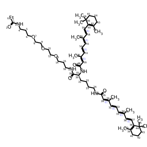 CCC(=O)NCCCOCCOCCOCCCNC(=O)[C@H](CCCCNC(=O)/C=C(C)/C=C/C=C(C)/C=C/C1=C(C)CCCC1(C)C)NC(=O)/C=C(C)/C=C/C=C(C)/C=C/C1=C(C)CCCC1(C)C